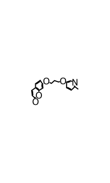 Cc1ccc(OCCCOc2ccc3ccc(=O)oc3c2)cn1